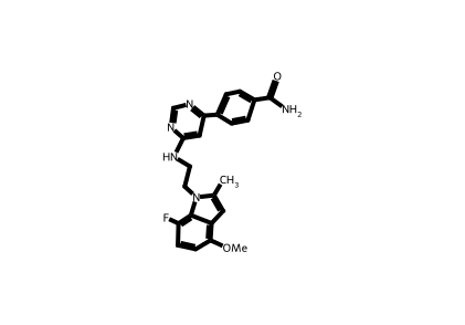 COc1ccc(F)c2c1cc(C)n2CCNc1cc(-c2ccc(C(N)=O)cc2)ncn1